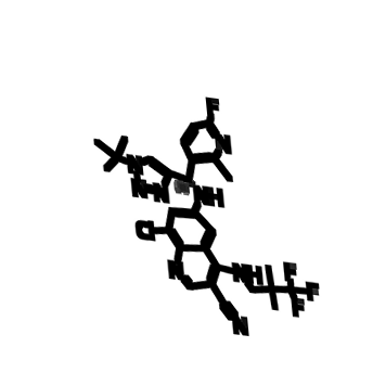 Cc1nc(F)ccc1[C@H](Nc1cc(Cl)c2ncc(C#N)c(NCC(C)(C)C(F)(F)F)c2c1)c1cn(C(C)(C)C)nn1